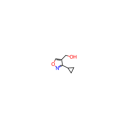 OCc1conc1C1CC1